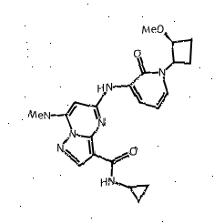 CNc1cc(Nc2cccn(C3CC[C@@H]3OC)c2=O)nc2c(C(=O)NC3CC3)cnn12